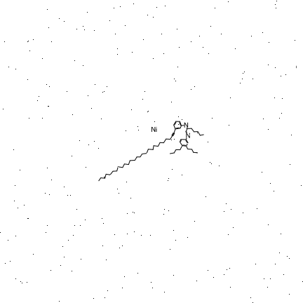 CCCCCCCCCCCCCCCCCCCCCCCCCC#Cc1cccc(N=C(C=Nc2ccc(CCCC)c(CCCC)c2)CCCCC)c1.[Ni]